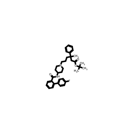 CC(C)(C)OC(=O)CC(C)(CCCN1CCC(NC(=O)c2ccccc2-c2ccc(F)cc2)CC1)c1ccccc1